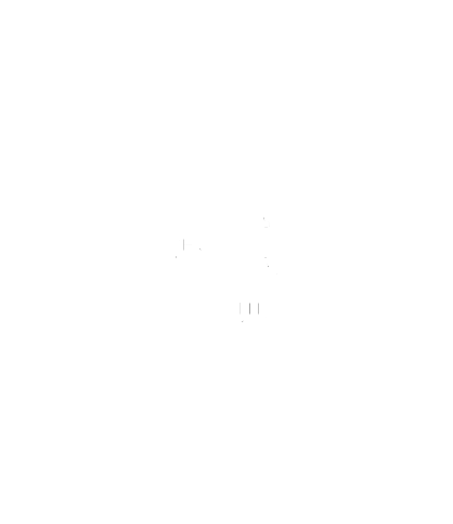 C1=CSSC1.P.P